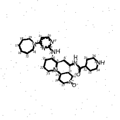 O=C(NCC[C@@H]1[C@@H](Nc2nccc(N3CCCCCC3)n2)CCCN1C1CC[S+]([O-])CC1)C1CCNCC1